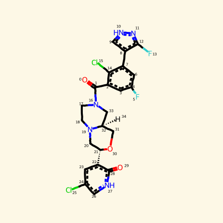 O=C(c1cc(F)cc(-c2c[nH]nc2F)c1Cl)N1CCN2C[C@@H](c3cc(Cl)c[nH]c3=O)OC[C@@H]2C1